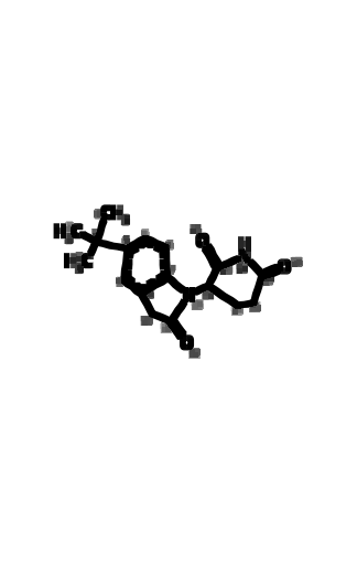 CC(C)(C)c1ccc2c(c1)CC(=O)N2C1CCC(=O)NC1=O